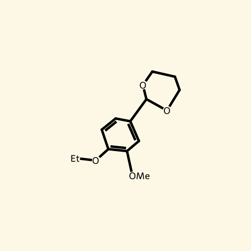 CCOc1ccc(C2OCCCO2)cc1OC